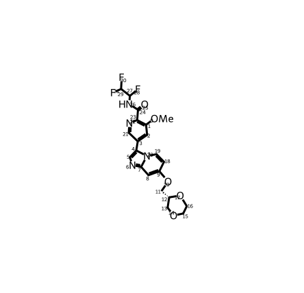 COc1cc(-c2cnc3cc(OC[C@H]4COCCO4)ccn23)cnc1C(=O)NC(F)C(F)F